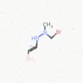 B/C=C/NN(C)CBr